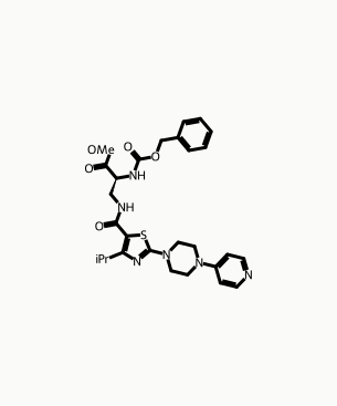 COC(=O)[C@H](CNC(=O)c1sc(N2CCN(c3ccncc3)CC2)nc1C(C)C)NC(=O)OCc1ccccc1